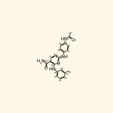 CC(=O)Nc1ccc(Nc2ncc(C(N)=O)c(Nc3cccc(C)c3)n2)cc1